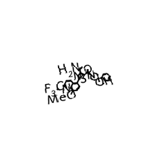 COc1ccc(-c2nc(C(C)N)c(C(=O)N3CCC(O)(c4ccccc4)CC3)s2)c2ccc(C(F)(F)F)nc12